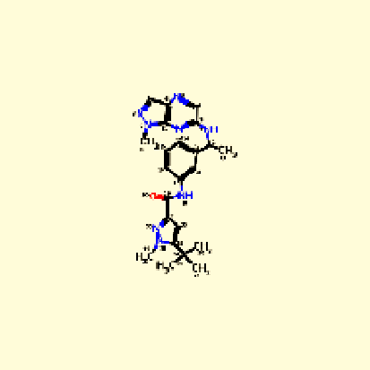 C[C@H](Nc1cnc2cnn(C)c2n1)c1cccc(NC(=O)c2cc(C(C)(C)C)n(C)n2)c1